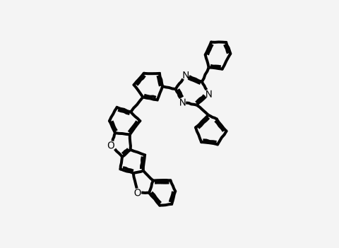 c1ccc(-c2nc(-c3ccccc3)nc(-c3cccc(-c4ccc5oc6cc7oc8ccccc8c7cc6c5c4)c3)n2)cc1